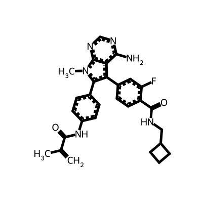 C=C(C)C(=O)Nc1ccc(-c2c(-c3ccc(C(=O)NCC4CCC4)c(F)c3)c3c(N)ncnc3n2C)cc1